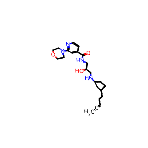 C=C=CCCC1CCC(NCC(O)CNC(=O)c2ccnc(N3CCOCC3)c2)C1